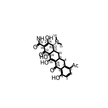 CC(=O)c1ccc(O)c2c1CC1CC3[C@@H](N(C)C)C(O)=C(C(N)=O)C(=O)[C@@]3(O)C(O)=C1C2=O